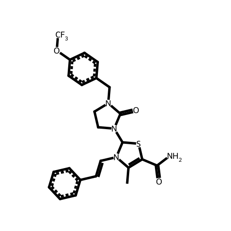 CC1=C(C(N)=O)SC(N2CCN(Cc3ccc(OC(F)(F)F)cc3)C2=O)N1C=Cc1ccccc1